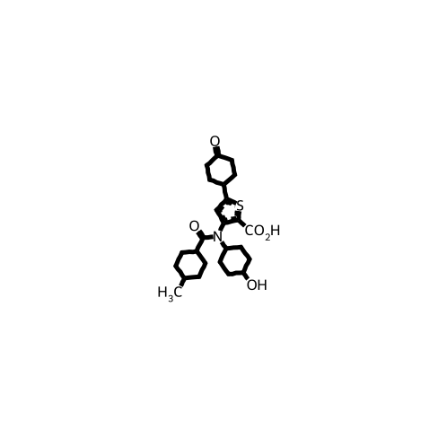 CC1CCC(C(=O)N(c2cc(C3CCC(=O)CC3)sc2C(=O)O)C2CCC(O)CC2)CC1